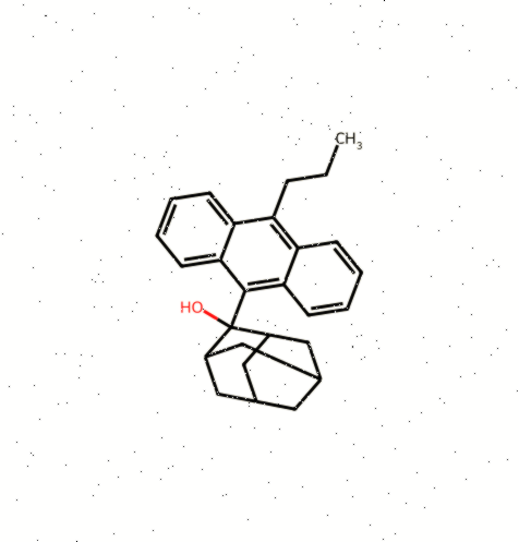 CCCc1c2ccccc2c(C2(O)C3CC4CC(C3)CC2C4)c2ccccc12